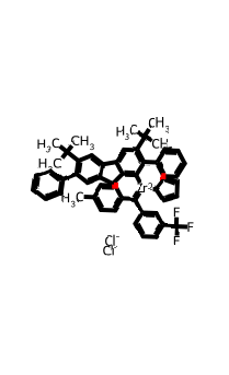 Cc1ccc([C](c2cccc(C(F)(F)F)c2)=[Zr+2]([c]2c3c(cc(C(C)(C)C)c2-c2ccccc2)-c2cc(C(C)(C)C)c(-c4ccccc4)cc2C3)[CH]2C=CC=C2)cc1.[Cl-].[Cl-]